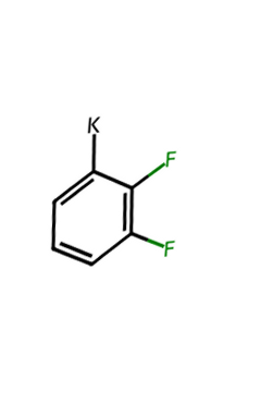 Fc1ccc[c]([K])c1F